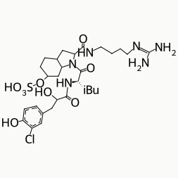 CC[C@@H](C)[C@@H](NC(=O)C(O)Cc1ccc(O)c(Cl)c1)C(=O)N1C(C(=O)NCCCCN=C(N)N)CC2CCC(OS(=O)(=O)O)CC21